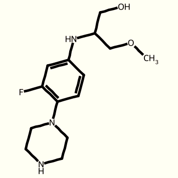 COCC(CO)Nc1ccc(N2CCNCC2)c(F)c1